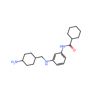 NC1CCC(CNc2cccc(NC(=O)C3CCCCC3)c2)CC1